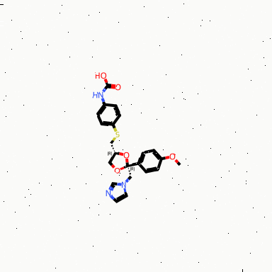 COc1ccc([C@@]2(Cn3ccnc3)OC[C@H](CSc3ccc(NC(=O)O)cc3)O2)cc1